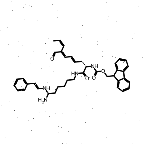 C\C=C/C(C=O)=C\C=C\C[C@H](NC(=O)OCC1c2ccccc2-c2ccccc21)C(=O)NCCCCCC(N)N/C=C/c1ccccc1